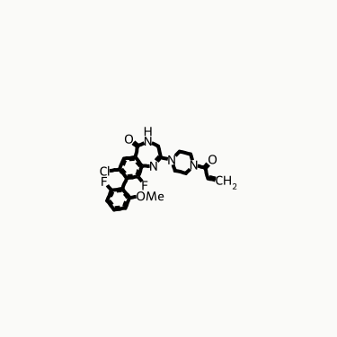 C=CC(=O)N1CCN(C2=Nc3c(cc(Cl)c(-c4c(F)cccc4OC)c3F)C(=O)NC2)CC1